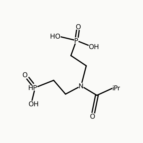 CC(C)C(=O)N(CC[PH](=O)O)CCP(=O)(O)O